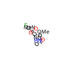 CNC(=O)c1c(-c2ccc(F)cc2)oc2cc(N=O)c(-c3cc(C(=O)NC4(c5ccccc5)CC4)ccc3OC)cc12